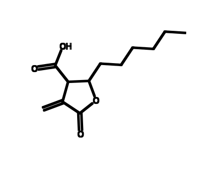 C=C1C(=O)OC(CCCCCC)C1C(=O)O